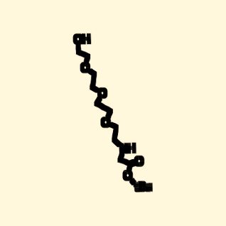 CC(C)(C)OC(=O)CNCCOCCOCCOCCO